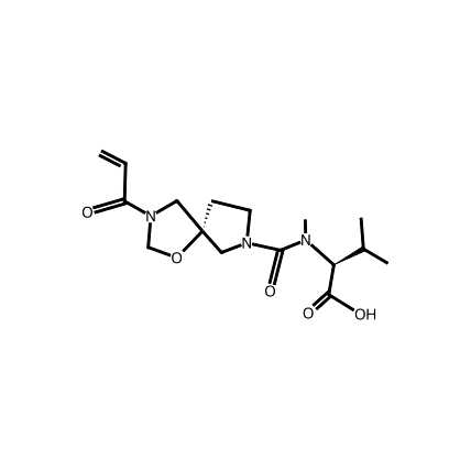 C=CC(=O)N1CO[C@@]2(CCN(C(=O)N(C)[C@H](C(=O)O)C(C)C)C2)C1